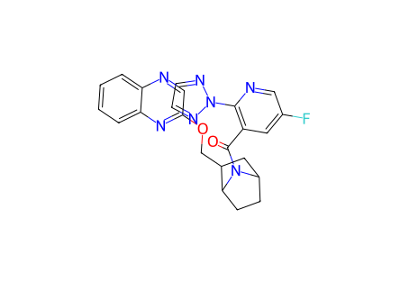 O=C(c1cc(F)cnc1-n1nccn1)N1C2CCC1C(COc1cnc3ccccc3n1)C2